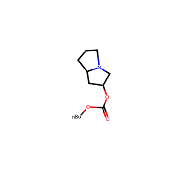 CCCCOC(=O)OC1CC2CCCN2C1